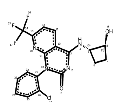 O=c1nc(N[C@H]2CC[C@@H]2O)c2ccc(C(F)(F)F)nc2n1-c1ccccc1Cl